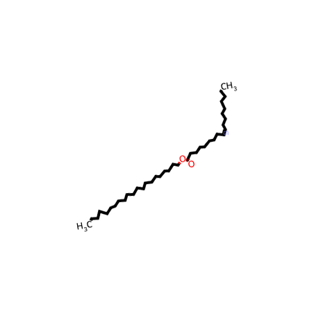 CCCCCCCC/C=C\CCCCCCCC(=O)OCCCCCCCCCCCCCCCCCCCCC